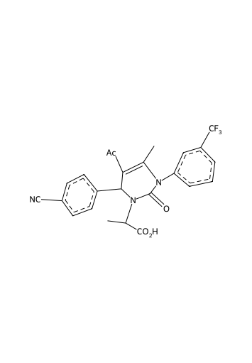 CC(=O)C1=C(C)N(c2cccc(C(F)(F)F)c2)C(=O)N(C(C)C(=O)O)C1c1ccc(C#N)cc1